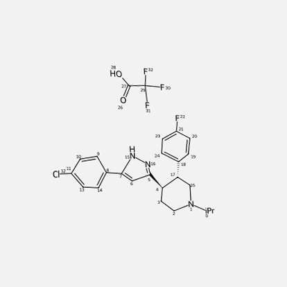 CC(C)N1CC[C@@H](c2cc(-c3ccc(Cl)cc3)[nH]n2)[C@H](c2ccc(F)cc2)C1.O=C(O)C(F)(F)F